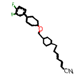 N#CC=CC=CCCC1CCC(COC2CCC(c3ccc(F)c(F)c3)CC2)CC1